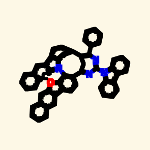 c1ccc(C2=C3CC(=NC(n4c5ccccc5c5ccccc54)=N2)c2ccc4c(oc5cc6ccccc6cc54)c2-n2c4cc3ccc4c3cc4ccccc4cc32)cc1